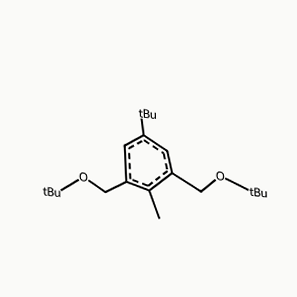 Cc1c(COC(C)(C)C)cc(C(C)(C)C)cc1COC(C)(C)C